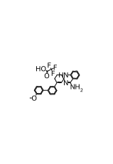 COc1cccc(-c2cccc(C3=CC4(CCC3)N=C(N)c3ccccc3N4)c2)c1.O=C(O)C(F)(F)F